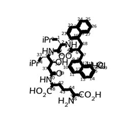 CC(C)C[C@H](NC(=O)C(Cc1cccc2ccccc12)Cc1cccc2ccccc12)C(=O)N[C@@H](CC(C)C)[C@@H](O)CC(=O)NC(CCCC(N)C(=O)O)C(=O)O.Cl.O